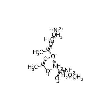 CC(=O)[O-].CC(=O)[O-].NC(N)=O.O.O.O.O.[Ni+2]